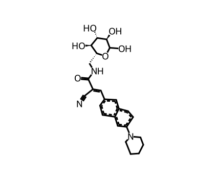 N#C/C(=C\c1ccc2cc(N3CCCCC3)ccc2c1)C(=O)NC[C@H]1OC(O)[C@H](O)[C@@H](O)[C@@H]1O